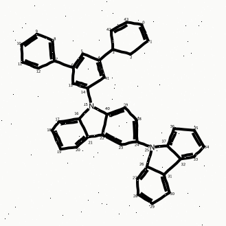 C1=CCC(c2cc(-c3ccccc3)cc(-n3c4ccccc4c4cc(-n5c6ccccc6c6ccccc65)ccc43)c2)C=C1